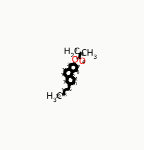 C=C(C)C(=O)Oc1ccc2c(ccc3cc(CCCC)ccc32)c1